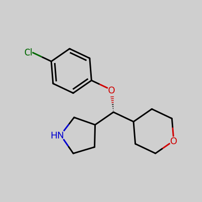 Clc1ccc(O[C@H](C2CCOCC2)C2CCNC2)cc1